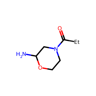 CCC(=O)N1CCOC(N)C1